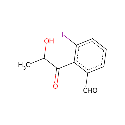 CC(O)C(=O)c1c(I)cccc1C=O